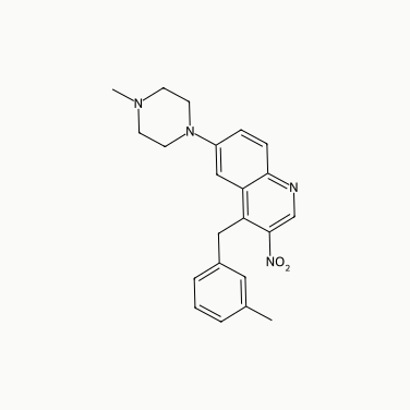 Cc1cccc(Cc2c([N+](=O)[O-])cnc3ccc(N4CCN(C)CC4)cc23)c1